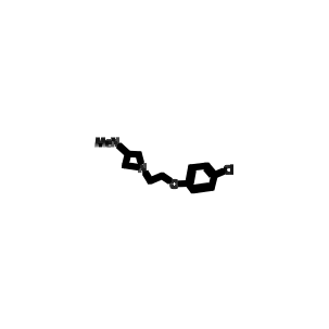 CNC1CN(CCOc2ccc(Cl)cc2)C1